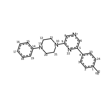 Fc1ccc(-c2cncc(N3CCN(c4ccccc4)CC3)n2)cc1